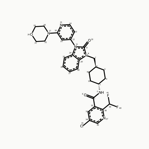 O=C(N[C@H]1CC[C@H](Cn2c(=O)n(-c3ccnc(N4CCOCC4)c3)c3ccccc32)CC1)c1cc(Cl)cnc1C(F)F